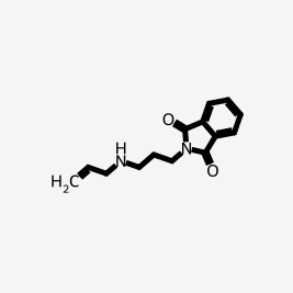 C=CCNCCCN1C(=O)c2ccccc2C1=O